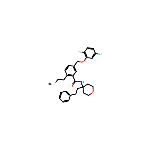 O=C(O)CCc1ccc(COc2cc(F)ccc2F)cc1C(=O)NC1(CCc2ccccc2)CCOCC1